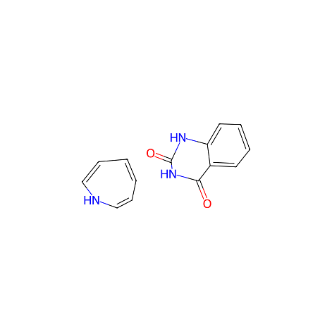 C1=CC=CNC=C1.O=c1[nH]c(=O)c2ccccc2[nH]1